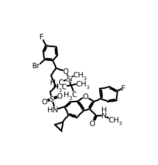 CNC(=O)c1c(-c2ccc(F)cc2)oc2cc(NS(=O)(=O)CCCC(O[Si](C)(C)C(C)(C)C)c3ccc(F)cc3Br)c(C3CC3)cc12